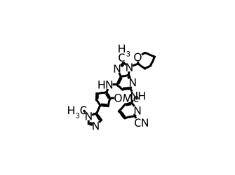 COc1cc(-c2cncn2C)ccc1Nc1cc(Nc2cccc(C#N)n2)nc2c1nc(C)n2C1CCCCO1